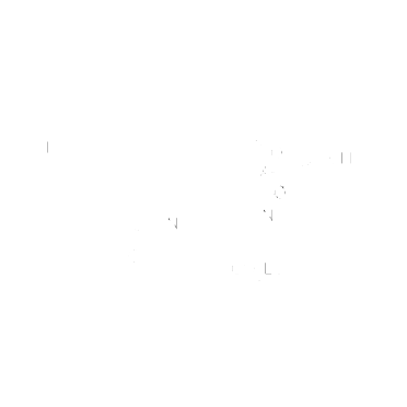 CCOC(=O)C1=CN(C(=O)c2ccc(F)cc2)CCc2c1n1c3cccc(c23)OC(C)O1